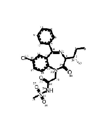 CC[C@H](C)C1N=C(c2ccccc2)c2cc(Cl)ccc2N(CC(=O)NS(C)(=O)=O)C1=O